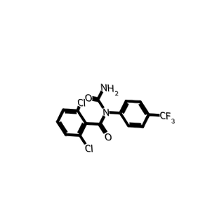 NC(=O)N(C(=O)c1c(Cl)cccc1Cl)c1ccc(C(F)(F)F)cc1